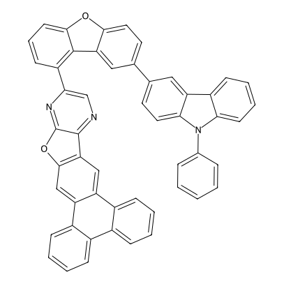 c1ccc(-n2c3ccccc3c3cc(-c4ccc5oc6cccc(-c7cnc8c(n7)oc7cc9c%10ccccc%10c%10ccccc%10c9cc78)c6c5c4)ccc32)cc1